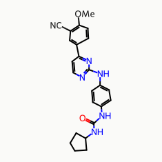 COc1ccc(-c2ccnc(Nc3ccc(NC(=O)NC4CCCC4)cc3)n2)cc1C#N